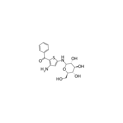 Nc1cc(NC2O[C@H](CO)[C@@H](O)[C@H](O)[C@H]2O)sc1C(=O)c1ccccc1